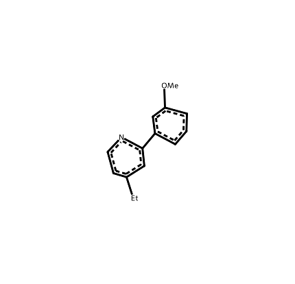 CCc1ccnc(-c2cccc(OC)c2)c1